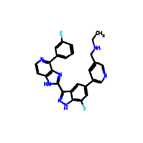 CCNCc1cncc(-c2cc(F)c3[nH]nc(-c4nc5c(-c6cccc(F)c6)nccc5[nH]4)c3c2)c1